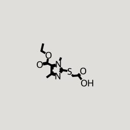 CCOC(=O)c1c(C)nc(SCC(=O)O)n1C